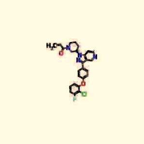 C=CC(=O)N1CCC[C@@H](n2nc(-c3ccc(Oc4cccc(F)c4Cl)cc3)c3cnccc32)C1